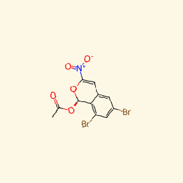 CC(=O)O[C@H]1OC([N+](=O)[O-])=Cc2cc(Br)cc(Br)c21